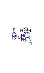 Fc1c(Cl)nc2c3c(nc(OC[C@@]45CCCN4C[C@H](F)C5)nc13)N1C[C@H]3CC[C@H](C3)[C@H]1CC2